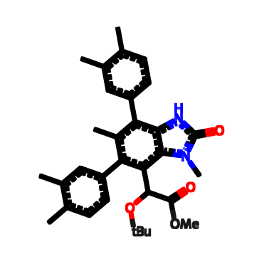 COC(=O)C(OC(C)(C)C)c1c(-c2ccc(C)c(C)c2)c(C)c(-c2ccc(C)c(C)c2)c2[nH]c(=O)n(C)c12